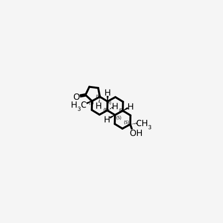 C[C@]1(O)CC[C@H]2[C@H](CC[C@@H]3[C@@H]2CC[C@]2(C)C(=O)CC[C@@H]32)C1